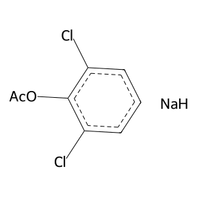 CC(=O)Oc1c(Cl)cccc1Cl.[NaH]